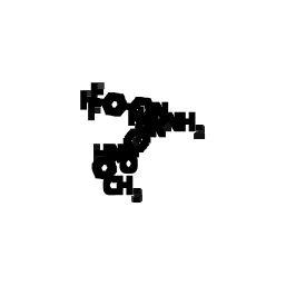 Cc1cccc(NC(=O)N2CCN(c3nc(N)nc4ccc(-c5ccc(C(F)(F)F)cc5)nc34)CC2)c1